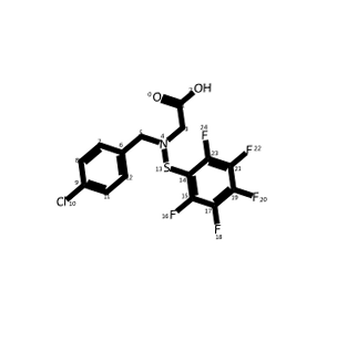 O=C(O)CN(Cc1ccc(Cl)cc1)Sc1c(F)c(F)c(F)c(F)c1F